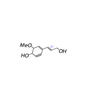 COC1C=C(/C=C/CO)C#CC1O